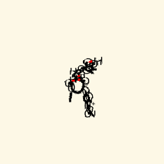 CC/C=C/[C@H]1CCC[C@H](OC2CCC([N+](C)(C)COC(=O)N(C)C)C(C)O2)[C@@H](C)C(=O)C2=C[C@@H]3[C@@H](C=C[C@@H]4C[C@@H](OC5OC(C)C(C)C(OC)C5CO)C[C@@H]34)[C@@H]2CC(=O)O1